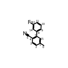 Cc1ccc(C#N)c(-c2cccc(F)c2)c1